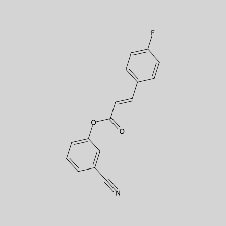 N#Cc1cccc(OC(=O)/C=C/c2ccc(F)cc2)c1